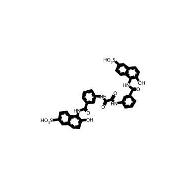 O=C(Nc1cccc(C(=O)Nc2c(O)ccc3cc(S(=O)(=O)O)ccc23)c1)C(=O)Nc1cccc(C(=O)Nc2c(O)ccc3cc(S(=O)(=O)O)ccc23)c1